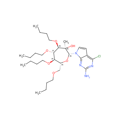 CCCCOC[C@H]1O[C@@H](n2ccc3c(Cl)nc(N)nc32)[C@](C)(O)[C@H](OCCCC)[C@@H](OCCCC)[C@@H]1OCCCC